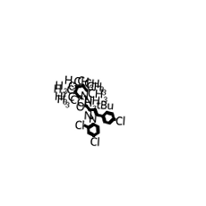 CC(C)(C)c1c(C(=O)NN2C(C)(C)C(C)(C)C(C)(C)C(C)(C)C2(C)C)nn(-c2ccc(Cl)cc2Cl)c1-c1ccc(Cl)cc1